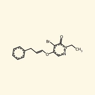 CCn1ncc(OC=CCc2ccccc2)c(Br)c1=O